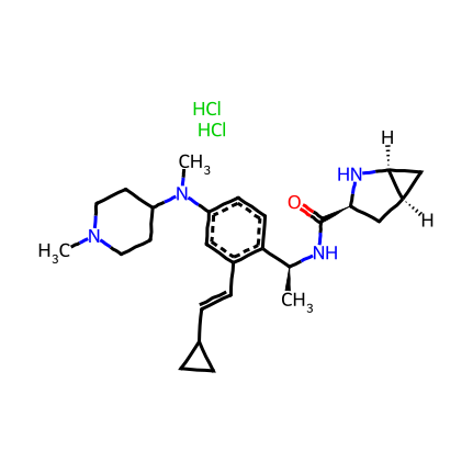 C[C@H](NC(=O)[C@@H]1C[C@@H]2C[C@@H]2N1)c1ccc(N(C)C2CCN(C)CC2)cc1/C=C/C1CC1.Cl.Cl